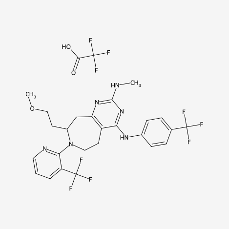 CNc1nc2c(c(Nc3ccc(C(F)(F)F)cc3)n1)CCN(c1ncccc1C(F)(F)F)C(CCOC)C2.O=C(O)C(F)(F)F